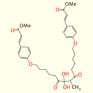 COC(=O)C=Cc1ccc(OCCCCCC(=O)C(C)C(O)(O)C(=O)CCCCCOc2ccc(C=CC(=O)OC)cc2)cc1